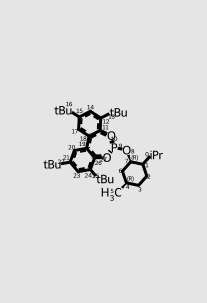 CC(C)C1CC[C@@H](C)C[C@H]1Op1oc2c(C(C)(C)C)cc(C(C)(C)C)cc2c2cc(C(C)(C)C)cc(C(C)(C)C)c2o1